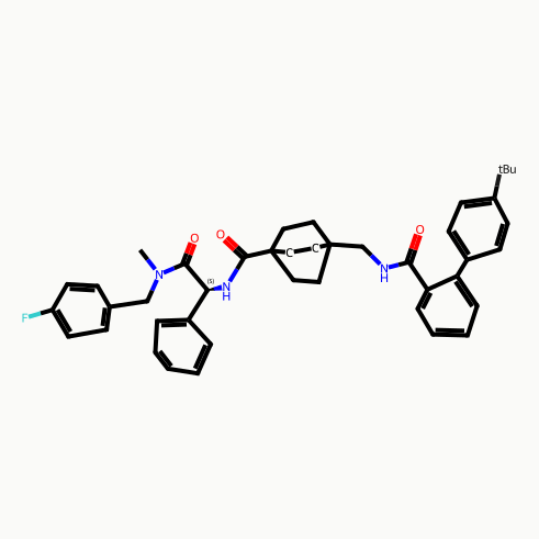 CN(Cc1ccc(F)cc1)C(=O)[C@@H](NC(=O)C12CCC(CNC(=O)c3ccccc3-c3ccc(C(C)(C)C)cc3)(CC1)CC2)c1ccccc1